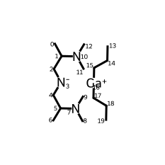 CC(C[N-]CC(C)N(C)C)N(C)C.CC[CH2][Ga+][CH2]CC